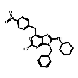 O=[N+]([O-])c1ccc(Cc2nc(S)nc3c2nc(NC2CCCCC2)n3Cc2ccccc2)cc1